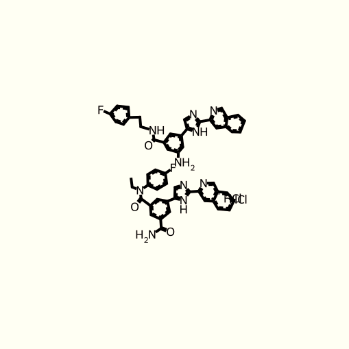 CCN(C(=O)c1cc(C(N)=O)cc(-c2cnc(-c3cc4ccccc4cn3)[nH]2)c1)c1ccc(F)cc1.Cl.Cl.Nc1cc(C(=O)NCCc2ccc(F)cc2)cc(-c2cnc(-c3cc4ccccc4cn3)[nH]2)c1